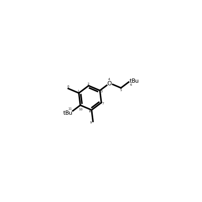 Cc1cc(OCC(C)(C)C)cc(C)c1C(C)(C)C